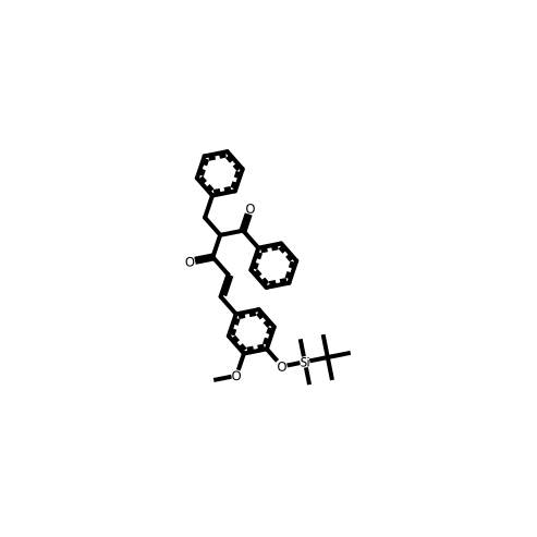 COc1cc(C=CC(=O)C(Cc2ccccc2)C(=O)c2ccccc2)ccc1O[Si](C)(C)C(C)(C)C